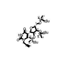 C#CCn1cc([C@@H]2O[C@H](CO[Si](C)(C)C(C)(C)C)C(O[Si](C)(C)C(C)(C)C)C2O[Si](C)(C)C(C)(C)C)c(=O)[nH]c1=O